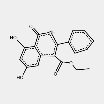 CCOC(=O)c1c(-c2ccccc2)[nH]c(=O)c2c(O)cc(O)cc12